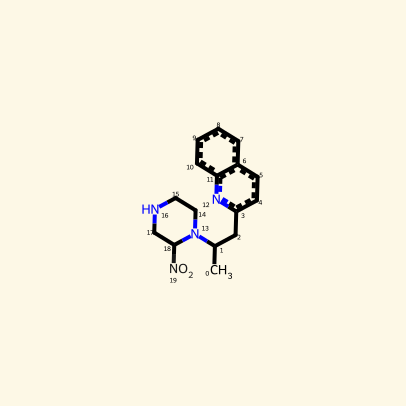 CC(Cc1ccc2ccccc2n1)N1CCNCC1[N+](=O)[O-]